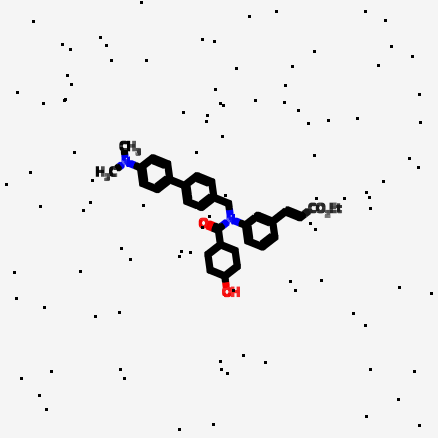 CCOC(=O)/C=C/c1cccc(N(Cc2ccc(-c3ccc(N(C)C)cc3)cc2)C(=O)C2CCC(O)CC2)c1